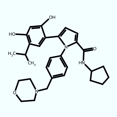 CC(C)c1cc(-c2ccc(C(=O)NC3CCCC3)n2-c2ccc(CN3CCOCC3)cc2)c(O)cc1O